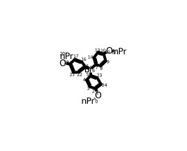 CCCOc1cc[c]([Bi]([c]2ccc(OCCC)cc2)[c]2ccc(OCCC)cc2)cc1